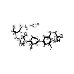 Cc1cc(-c2ccc(-n3cnn(C/C(=C/F)CN)c3=O)c(F)c2)cc2c1NC(=O)CC2.Cl